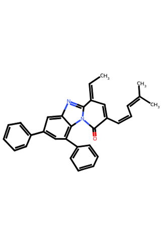 C/C=c1\cc(/C=C\C=C(C)C)c(=O)n2c1nc1cc(-c3ccccc3)cc(-c3ccccc3)c12